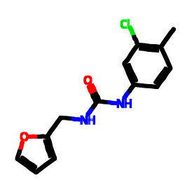 Cc1ccc(NC(=O)NCc2ccco2)cc1Cl